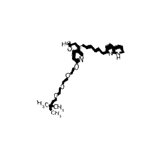 CCC(C)(C)CCOCCOCCOCCOc1ccc([C@@H](CCCCCCc2ccc3c(n2)NCCC3)CC(=O)O)cn1